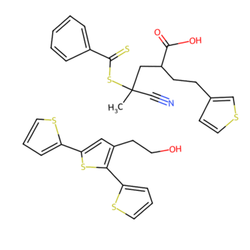 CC(C#N)(CC(CCc1ccsc1)C(=O)O)SC(=S)c1ccccc1.OCCc1cc(-c2cccs2)sc1-c1cccs1